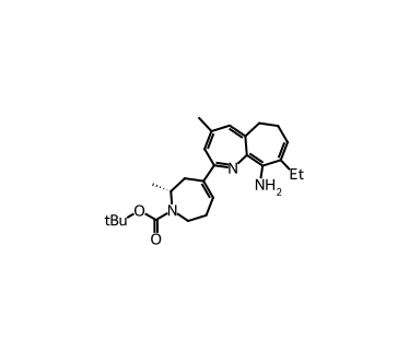 CCC1=CCCC2=CC(C)=CC(C3=CCCN(C(=O)OC(C)(C)C)[C@H](C)C3)=NC2=C1N